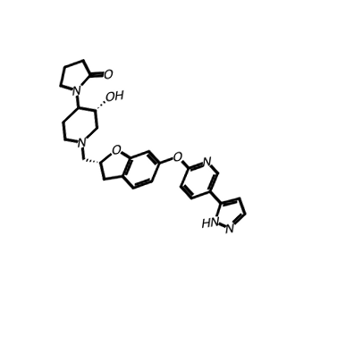 O=C1CCCN1C1CCN(C[C@H]2Cc3ccc(Oc4ccc(-c5ccn[nH]5)cn4)cc3O2)C[C@H]1O